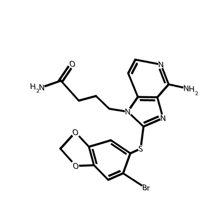 NC(=O)CCCn1c(Sc2cc3c(cc2Br)OCO3)nc2c(N)nccc21